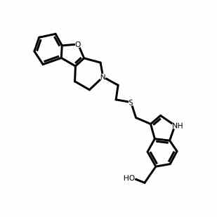 OCc1ccc2[nH]cc(CSCCN3CCc4c(oc5ccccc45)C3)c2c1